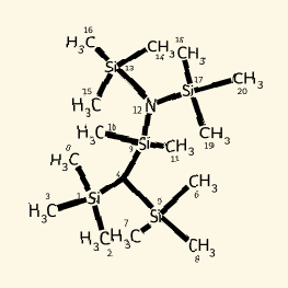 C[Si](C)(C)C([Si](C)(C)C)[Si](C)(C)N([Si](C)(C)C)[Si](C)(C)C